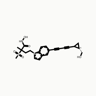 CC(CCn1ccc2cc(C#CC#CC3C[C@@H]3CO)ccc21)(C(=O)NO)S(C)(=O)=O